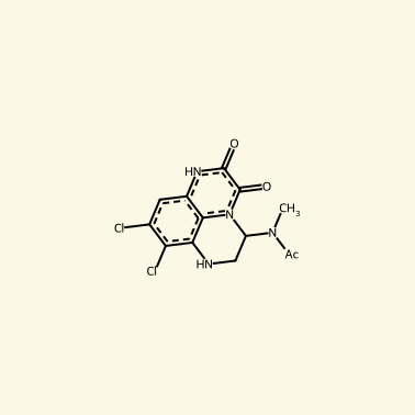 CC(=O)N(C)C1CNc2c(Cl)c(Cl)cc3[nH]c(=O)c(=O)n1c23